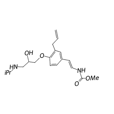 C=CCc1cc(/C=C/NC(=O)OC)ccc1OCC(O)CNC(C)C